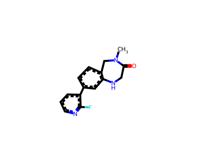 CN1Cc2ccc(-c3cccnc3F)cc2NCC1=O